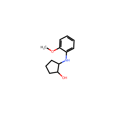 COc1ccccc1NC1CCCC1O